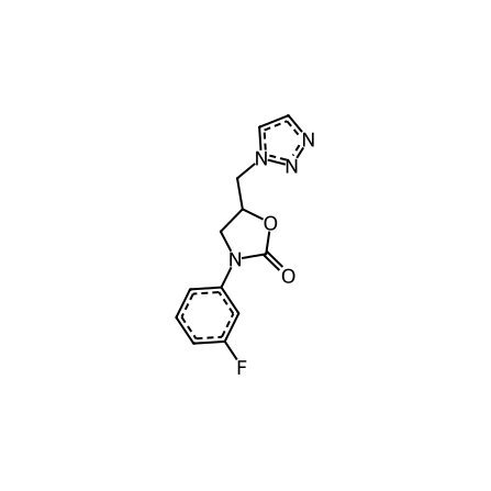 O=C1OC(Cn2ccnn2)CN1c1cccc(F)c1